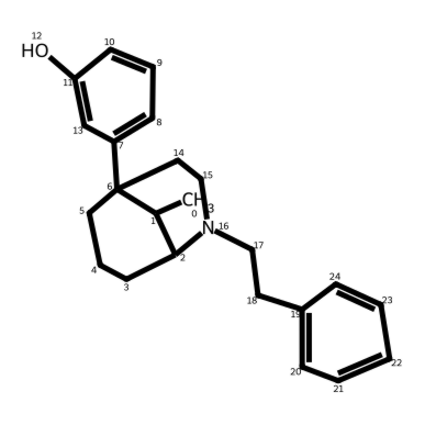 CC1C2CCCC1(c1cccc(O)c1)CCN2CCc1ccccc1